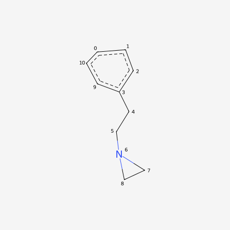 c1ccc(CCN2CC2)cc1